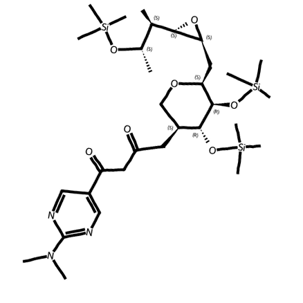 C[C@@H]([C@@H]1O[C@H]1C[C@@H]1OC[C@H](CC(=O)CC(=O)c2cnc(N(C)C)nc2)[C@@H](O[Si](C)(C)C)[C@@H]1O[Si](C)(C)C)[C@H](C)O[Si](C)(C)C